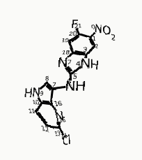 O=[N+]([O-])c1cc2[nH]c(Nc3c[nH]c4ccc(Cl)nc34)nc2cc1F